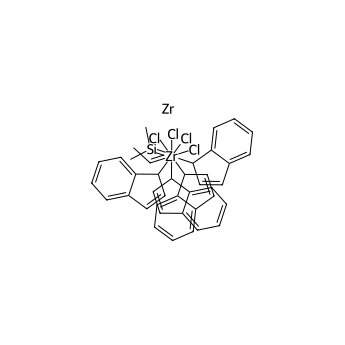 C[CH]=[Zr]([Cl])([Cl])([Cl])([Cl])([CH]1C=Cc2ccccc21)([CH]1C=Cc2ccccc21)([CH]1C=Cc2ccccc21)([CH]1C=Cc2ccccc21)=[Si](C)C.[Zr]